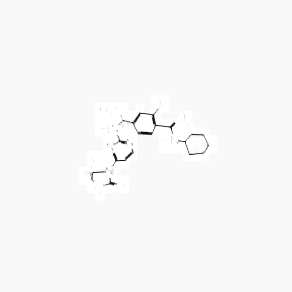 CC(C)[C@H]1COC(=O)N1c1ccnc(N[C@@H](C)c2ccc(C(=O)NC3CCCCC3)c(F)c2)n1